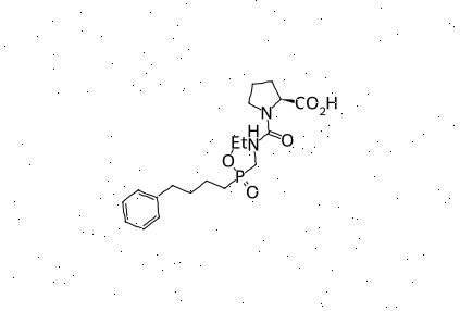 CCOP(=O)(CCCCc1ccccc1)CNC(=O)N1CCC[C@H]1C(=O)O